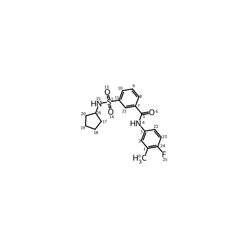 Cc1cc(NC(=O)c2cccc(S(=O)(=O)NC3CCCC3)c2)ccc1F